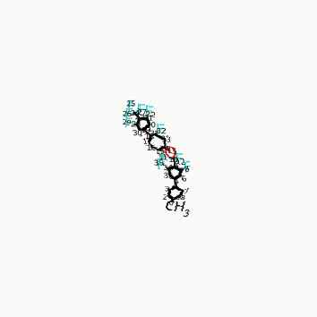 Cc1ccc(-c2cc(F)c(C(F)(F)OC3=CCC=C(c4cc(F)c(C(F)(F)F)c(F)c4)C(F)=C3)c(F)c2)cc1